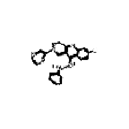 Clc1ccc2c(NNc3ccccc3)c3c(nc2c1)CCN(c1cnccn1)C3